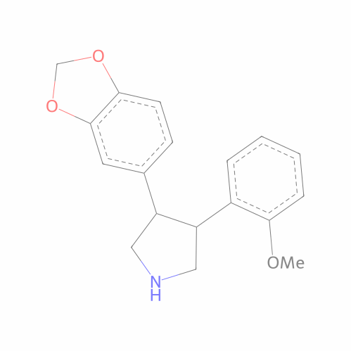 COc1ccccc1C1CNCC1c1ccc2c(c1)OCO2